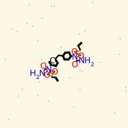 C=CCS(=O)(=O)N(C(N)=O)c1ccc(Cc2ccc(N(C(N)=O)S(=O)(=O)CC=C)cc2)cc1